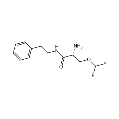 N[C@H](COC(F)F)C(=O)NCCc1ccccc1